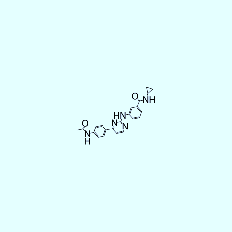 CC(=O)Nc1ccc(-c2ccnc(Nc3cccc(C(=O)NC4CC4)c3)n2)cc1